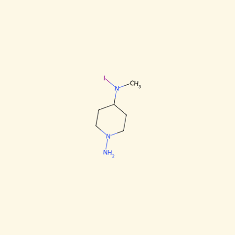 CN(I)C1CCN(N)CC1